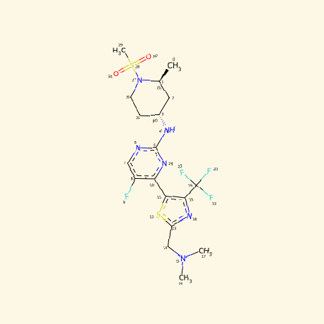 C[C@H]1C[C@H](Nc2ncc(F)c(-c3sc(CN(C)C)nc3C(F)(F)F)n2)CCN1S(C)(=O)=O